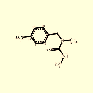 CCCNC(=S)N(C)Cc1ccc([N+](=O)[O-])cc1